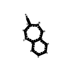 S=c1cnc2ccccc2cn1